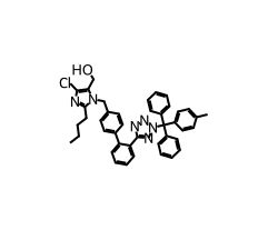 CCCCc1nc(Cl)c(CO)n1Cc1ccc(-c2ccccc2-c2nnn(C(c3ccccc3)(c3ccccc3)c3ccc(C)cc3)n2)cc1